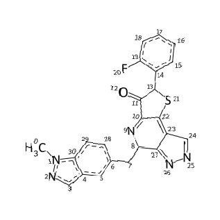 Cn1ncc2cc(CC3N=C4C(=O)C(c5ccccc5F)SC4=C4C=NN=C43)ccc21